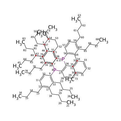 CCCCc1ccc(P(c2ccc(CCCC)c(CCCC)c2CCCC)c2ccc3ccccc3c2P(c2ccc(CCCC)c(CCCC)c2CCCC)c2ccc(CCCC)c(CCCC)c2CCCC)c(CCCC)c1CCCC